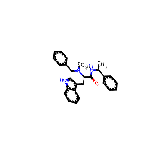 C[C@H](NC(=O)[C@@H](Cc1c[nH]c2ccccc12)N(Cc1ccccc1)C(=O)O)c1ccccc1